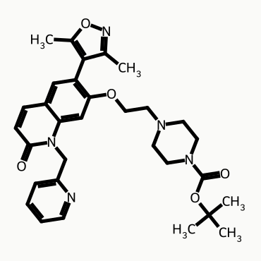 Cc1noc(C)c1-c1cc2ccc(=O)n(Cc3ccccn3)c2cc1OCCN1CCN(C(=O)OC(C)(C)C)CC1